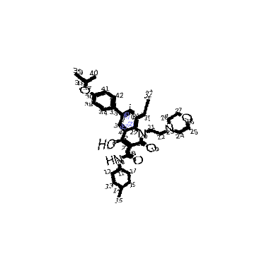 C\C=C(/C=c1/c(O)c(C(=O)NC2CCC(C)CC2)c(=O)n(CCN2CCOCC2)/c1=C\CC)c1ccc(OC(C)C)cc1